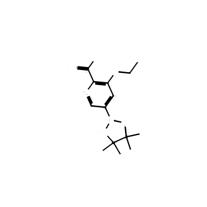 CCSc1cc(B2OC(C)(C)C(C)(C)O2)cnc1C(=O)O